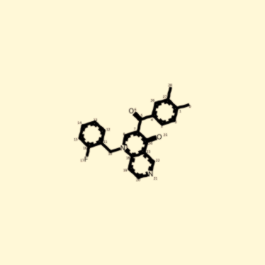 Cc1ccc(C(=O)c2cn(Cc3ccccc3F)c3ccncc3c2=O)cc1C